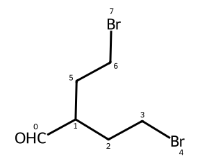 O=CC(CCBr)CCBr